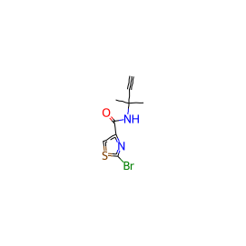 C#CC(C)(C)NC(=O)c1csc(Br)n1